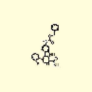 NC(=O)c1ncc(-c2ccccc2F)c2c1[nH]c1cc(NC(=O)OCc3ccccc3)ccc12